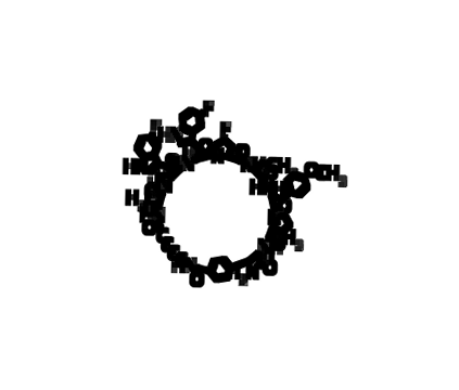 CCC1NC(=O)[C@@H]2C[C@H](F)CN2C(=O)[C@H](Cc2c[nH]c3ccc(F)cc23)NC(=O)[C@H](Cc2c[nH]c3ccc(F)cc23)NC(=O)[C@@H](C)NC(=O)CCCCNC(=O)c2ccc(cc2)C[C@@H](C(N)=O)NC(=O)[C@]2(C)CCCN2C(=O)[C@H](Cc2ccc(OC)cc2)NC1=O